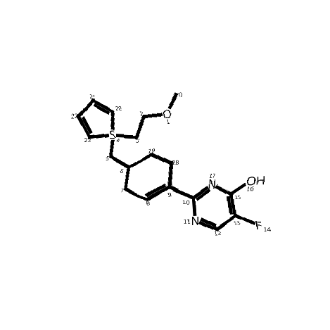 COCCS1(CC2CC=C(c3ncc(F)c(O)n3)CC2)C=CC=C1